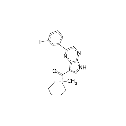 CC1(C(=O)c2c[nH]c3ncc(-c4cccc(I)c4)nc23)CCCCC1